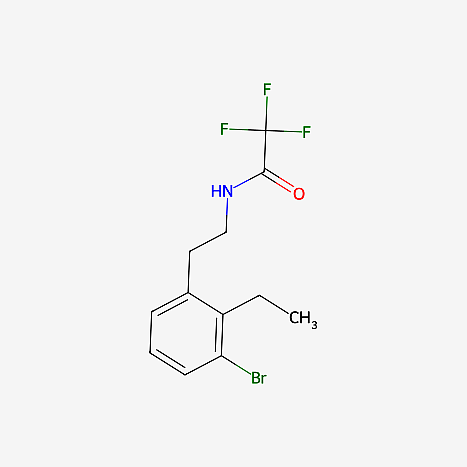 CCc1c(Br)cccc1CCNC(=O)C(F)(F)F